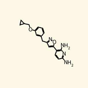 Nc1ccc(-c2cc(Cc3cccc(OCC4CC4)c3)no2)c(N)n1